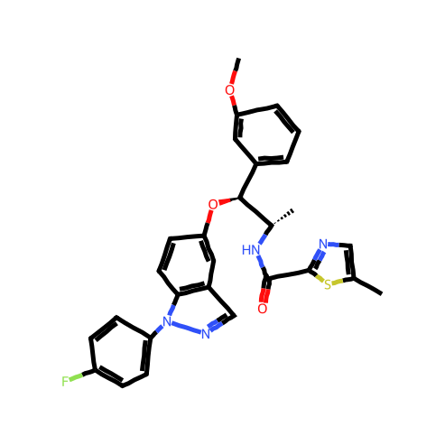 COc1cccc([C@H](Oc2ccc3c(cnn3-c3ccc(F)cc3)c2)[C@H](C)NC(=O)c2ncc(C)s2)c1